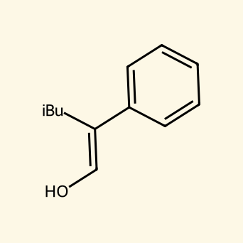 CCC(C)C(=CO)c1ccccc1